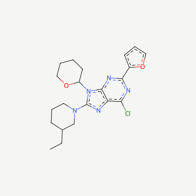 CCC1CCCN(c2nc3c(Cl)nc(-c4ccco4)nc3n2C2CCCCO2)C1